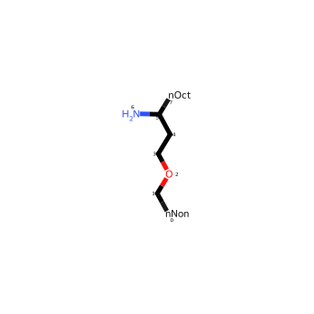 CCCCCCCCCCOCCC(N)CCCCCCCC